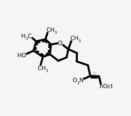 CCCCCCCC/C=C(/CCCC1(C)CCc2c(C)c(O)c(C)c(C)c2O1)[N+](=O)[O-]